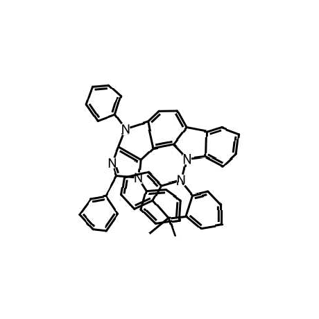 CC1(C)c2ccccc2N(n2c3ccccc3c3ccc4c(c5c(nc(-c6ccccc6)n5-c5ccccc5)n4-c4ccccc4)c32)c2ccccc21